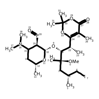 CO[C@](C)(C[C@@H](C)CI)[C@H](O[C@@H]1O[C@H](C)CC(N(C)C)[C@H]1P=O)[C@@H](C)C1=C(C)C(=O)OC(C)(C)O1